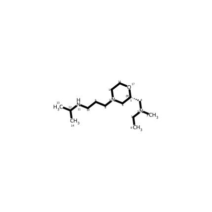 CCN(C)C[C@@H]1CN(CCCNC(C)C)CCO1